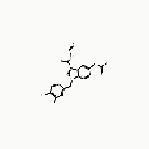 CC(=O)Oc1ccc2c(c1)c(C(C)OC=O)cn2Cc1ccc(Br)c(F)c1